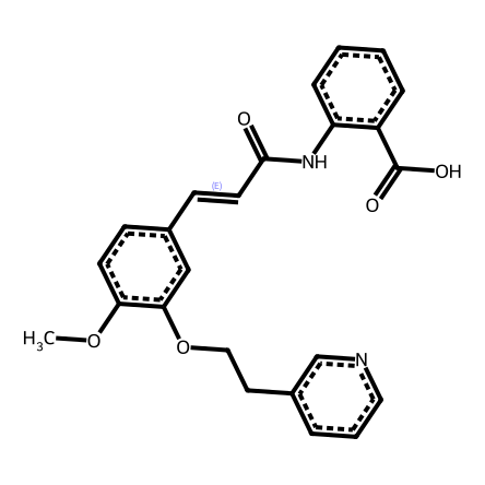 COc1ccc(/C=C/C(=O)Nc2ccccc2C(=O)O)cc1OCCc1cccnc1